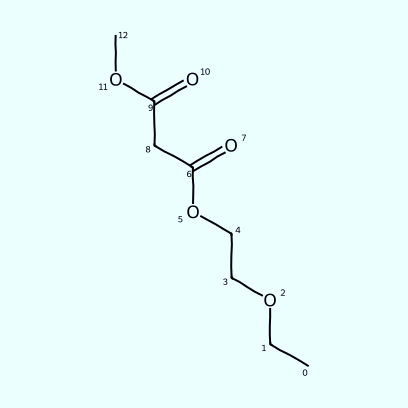 CCOCCOC(=O)CC(=O)OC